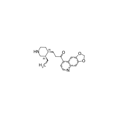 C=C[C@H]1CNCC[C@H]1CCC(=O)c1ccnc2cc3c(cc12)OCO3